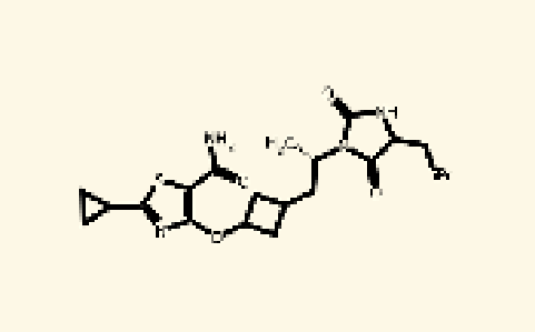 CC(C)CC1NC(=O)N([C@@H](C)CC2CC(Oc3nc(C4CC4)sc3C(N)=O)C2)C1=O